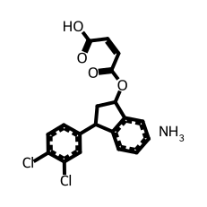 N.O=C(O)/C=C\C(=O)OC1CC(c2ccc(Cl)c(Cl)c2)c2ccccc21